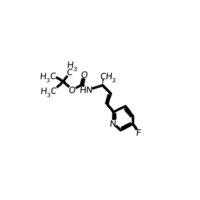 C[C@H](/C=C/c1ccc(F)cn1)NC(=O)OC(C)(C)C